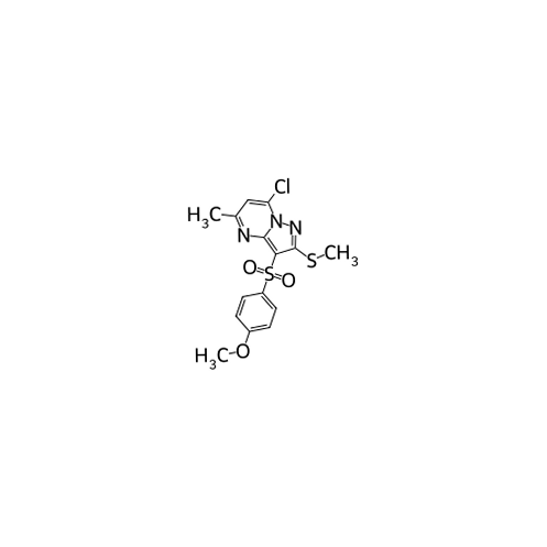 COc1ccc(S(=O)(=O)c2c(SC)nn3c(Cl)cc(C)nc23)cc1